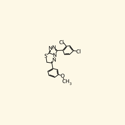 COc1cccc(C2=Nn3c(nnc3-c3ccc(Cl)cc3Cl)SC2)c1